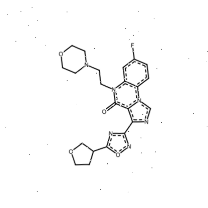 O=c1c2c(-c3noc(C4CCOC4)n3)ncn2c2ccc(F)cc2n1CCN1CCOCC1